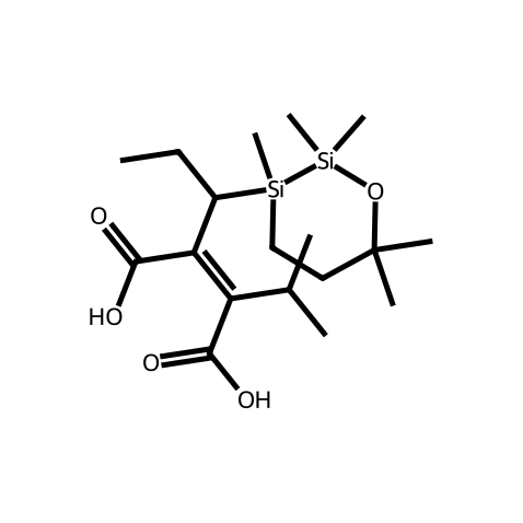 CCC(C(C(=O)O)=C(C(=O)O)C(C)C)[Si]1(C)CCC(C)(C)O[Si]1(C)C